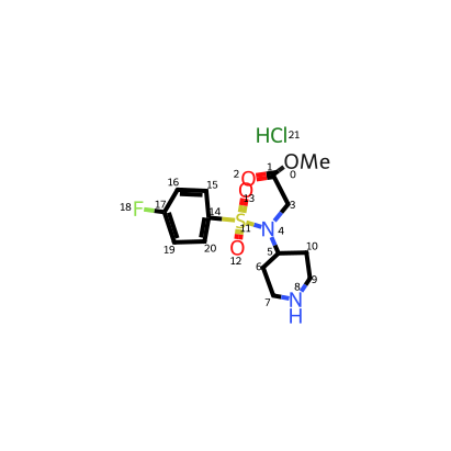 COC(=O)CN(C1CCNCC1)S(=O)(=O)c1ccc(F)cc1.Cl